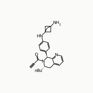 C#CC(=O)N1[C@@H](CCCC)Cc2cccnc2[C@@H]1c1ccc(NC23CC(N)(C2)C3)cc1